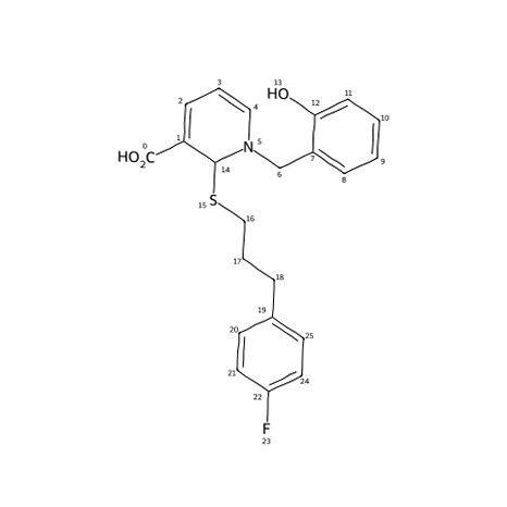 O=C(O)C1=CC=CN(Cc2ccccc2O)C1SCCCc1ccc(F)cc1